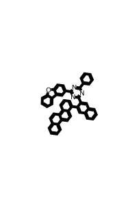 c1ccc(-c2nc(-c3ccc4oc5ccccc5c4c3)nc(-c3cc4ccccc4cc3-c3cccc4c3ccc3c5ccccc5ccc43)n2)cc1